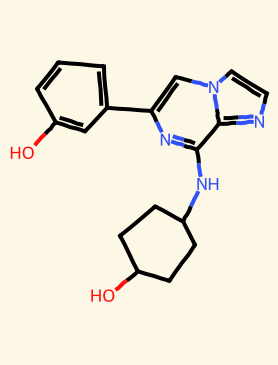 Oc1cccc(-c2cn3ccnc3c(NC3CCC(O)CC3)n2)c1